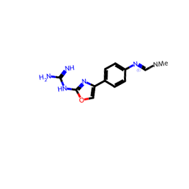 CN/C=N/c1ccc(-c2coc(NC(=N)N)n2)cc1